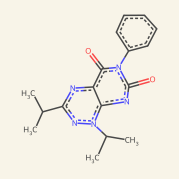 CC(C)c1nc2c(=O)n(-c3ccccc3)c(=O)nc-2n(C(C)C)n1